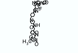 CNC(=O)C(CCC=O)c1noc2c(CC(=O)NC3CCN(CC4CCC(n5cc(-c6cnn7ccc(N8CC9CC8CO9)nc67)c(C(F)F)n5)CC4)CC3)cccc12